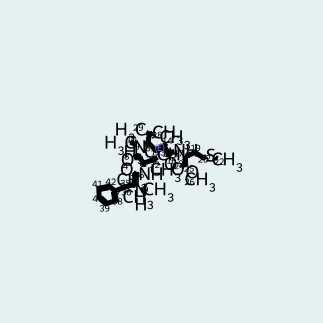 CNC(C(=O)NC(C(=O)N(C)C(/C=C(\C)C(=O)NC(CCSC)C(=O)OC)C(C)C)C(C)(C)C)C(C)(C)c1ccccc1